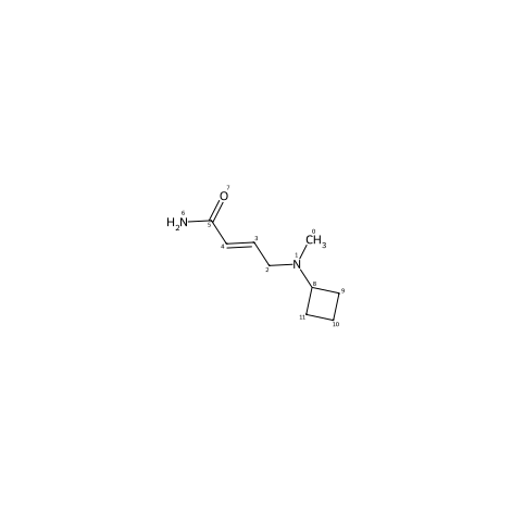 CN(CC=CC(N)=O)C1CCC1